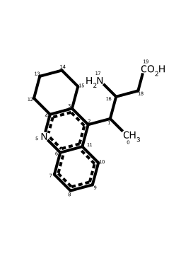 CC(c1c2c(nc3ccccc13)CCCC2)C(N)CC(=O)O